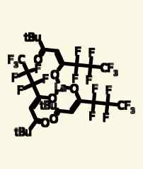 CC(C)(C)C(=O)/C=C(\[O][La]([O]/C(=C\C(=O)C(C)(C)C)C(F)(F)C(F)(F)C(F)(F)F)[O]/C(=C\C(=O)C(C)(C)C)C(F)(F)C(F)(F)C(F)(F)F)C(F)(F)C(F)(F)C(F)(F)F